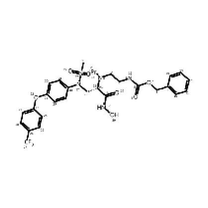 CC(C)N(CCNC(=O)OCc1ccccc1)[C@@H](CN(c1ccc(Oc2ccc(C(F)(F)F)cc2)cc1)S(C)(=O)=O)C(=O)NO